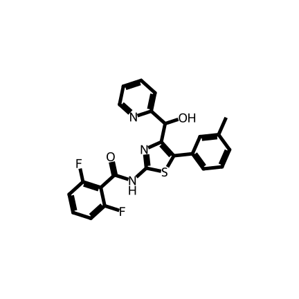 Cc1cccc(-c2sc(NC(=O)c3c(F)cccc3F)nc2C(O)c2ccccn2)c1